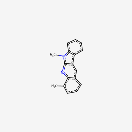 Cc1cccc2cc3c4ccccc4n(C)c3nc12